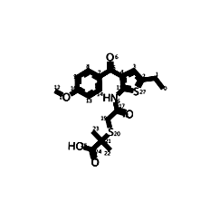 CCc1cc(C(=O)c2ccc(OC)cc2)c(NC(=O)CSC(C)(C)C(=O)O)s1